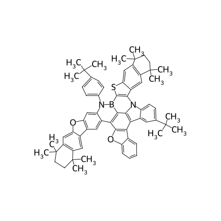 CC(C)(C)c1ccc(N2B3c4sc5cc6c(cc5c4-n4c5ccc(C(C)(C)C)cc5c5c7c(oc8ccccc87)c(c3c54)-c3cc4c(cc32)oc2cc3c(cc24)C(C)(C)CCC3(C)C)C(C)(C)CCC6(C)C)cc1